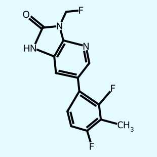 Cc1c(F)ccc(-c2cnc3c(c2)[nH]c(=O)n3CF)c1F